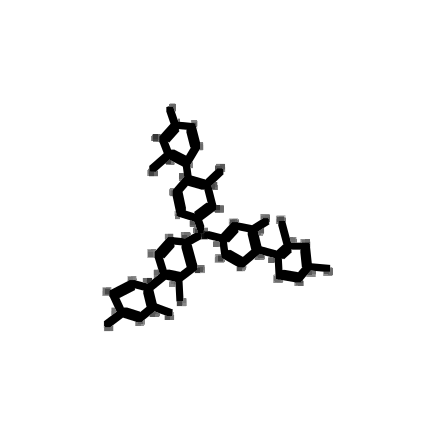 Cc1ccc(-c2ccc(N(c3ccc(-c4ccc(C)cc4C)c(C)c3)c3ccc(-c4ccc(C)cc4C)c(C)c3)cc2C)c(C)c1